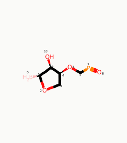 B[C@@H]1OC[C@H](OCP=O)[C@@H]1O